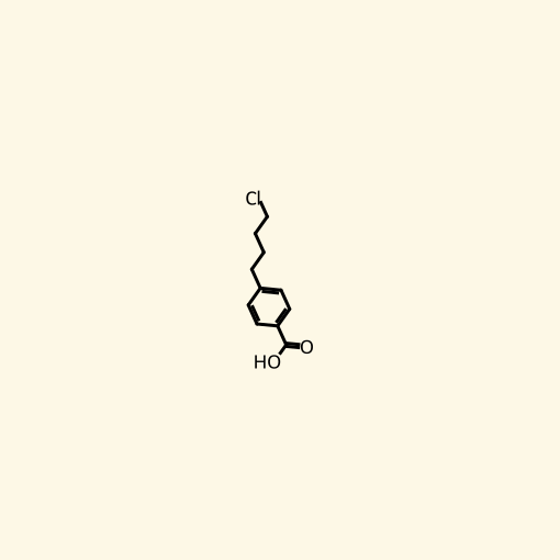 O=C(O)c1ccc(CCCCCl)cc1